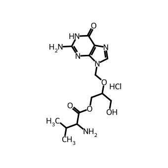 CC(C)C(N)C(=O)OCC(CO)OCn1cnc2c(=O)[nH]c(N)nc21.Cl